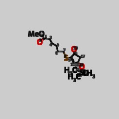 COC(=O)CCCCCSC1=CC(O[Si](C)(C)C)CC1=O